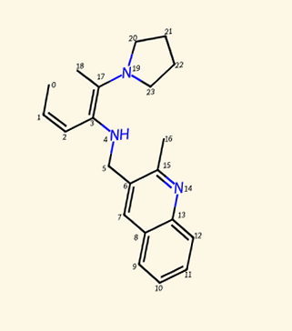 C/C=C\C(NCc1cc2ccccc2nc1C)=C(/C)N1CCCC1